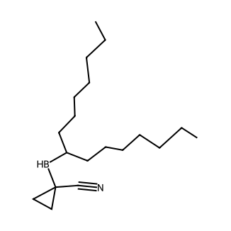 CCCCCCCC(BC1(C#N)CC1)CCCCCCC